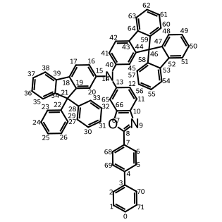 c1ccc(-c2ccc(-c3nc4ccc(N(c5ccc6c(c5)C(c5ccccc5)(c5ccccc5)c5ccccc5-6)c5ccc6c(c5)C5(c7ccccc7-c7ccccc75)c5ccccc5-6)cc4o3)cc2)cc1